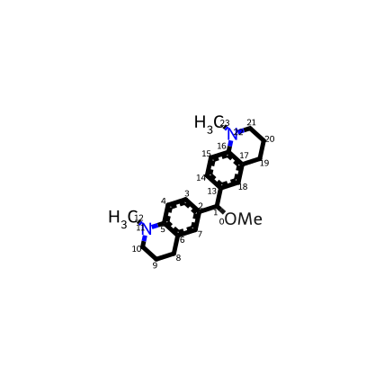 COC(c1ccc2c(c1)CCCN2C)c1ccc2c(c1)CCCN2C